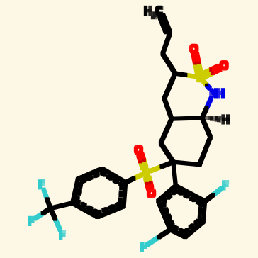 C=CCC1CC2CC(c3cc(F)ccc3F)(S(=O)(=O)c3ccc(C(F)(F)F)cc3)CC[C@@H]2NS1(=O)=O